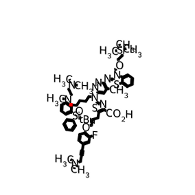 Cc1cc(N(CCCC(CN(C)CCN(C)C)O[Si](c2ccccc2)(c2ccccc2)C(C)(C)C)c2nc(C(=O)O)c(CCCOc3ccc(C#CCN(C)C)cc3F)s2)nnc1/N=c1\sc2ccccc2n1COCC[Si](C)(C)C